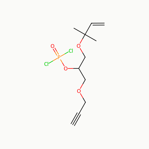 C#CCOCC(COC(C)(C)C=C)OP(=O)(Cl)Cl